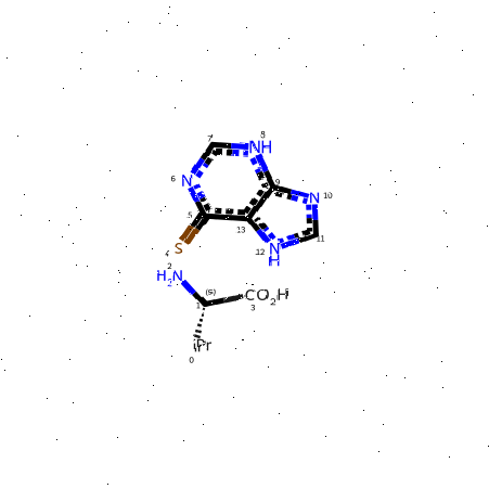 CC(C)[C@H](N)C(=O)O.S=c1nc[nH]c2nc[nH]c12